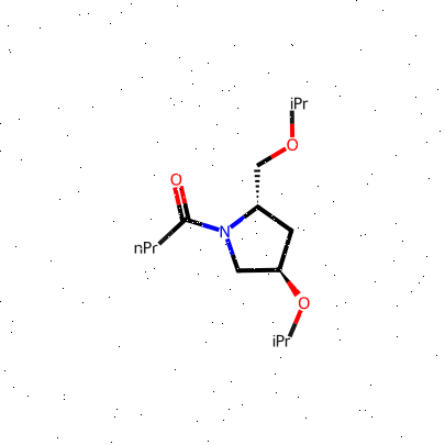 CCCC(=O)N1C[C@H](OC(C)C)C[C@H]1COC(C)C